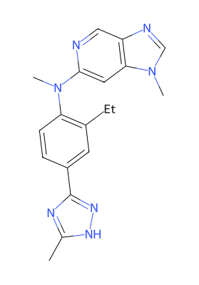 CCc1cc(-c2n[nH]c(C)n2)ccc1N(C)c1cc2c(cn1)ncn2C